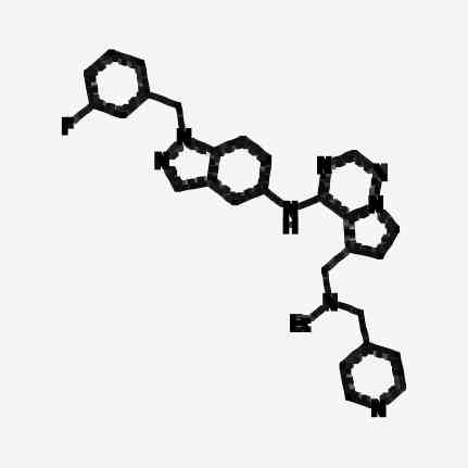 CCN(Cc1ccncc1)Cc1ccn2ncnc(Nc3ccc4c(cnn4Cc4cccc(F)c4)c3)c12